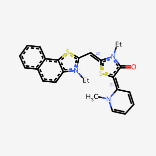 CCn1c(=O)/c(=C2\C=CC=CN2C)s/c1=C\c1sc2c3ccccc3ccc2[n+]1CC